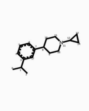 CC(C)c1cccc(C2CCN(C3CC3)CC2)c1